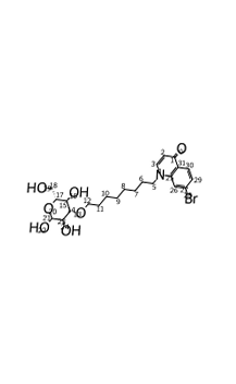 O=c1ccn(CCCCCCCCO[C@H]2[C@H](O)[C@@H](CO)OC(O)[C@@H]2O)c2cc(Br)ccc12